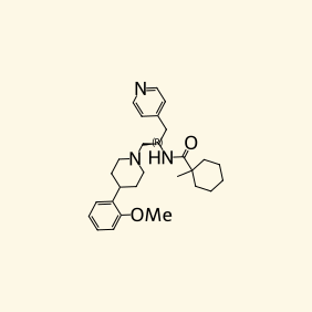 COc1ccccc1C1CCN(C[C@@H](Cc2ccncc2)NC(=O)C2(C)CCCCC2)CC1